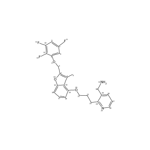 Cc1c(COc2cc(F)cc(F)c2F)oc2cccc(OCCCc3ncccc3CN)c12